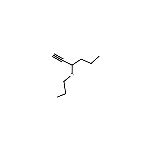 [C]#CC(CCC)OCCC